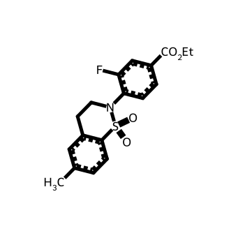 CCOC(=O)c1ccc(N2CCc3cc(C)ccc3S2(=O)=O)c(F)c1